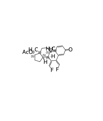 CC(=O)O[C@H]1CC[C@H]2[C@@H]3C(=CF)C(=CF)C4=CC(=O)C=C[C@]4(C)[C@H]3CC[C@]12C